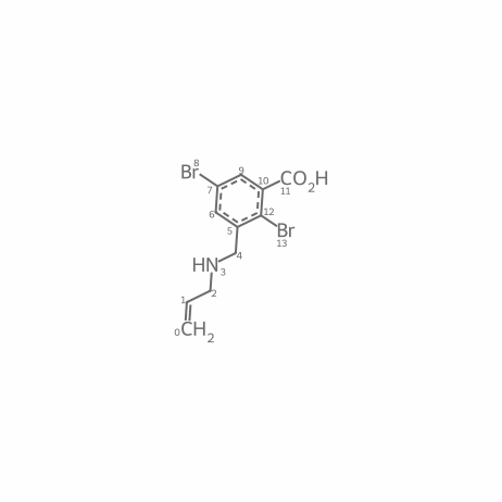 C=CCNCc1cc(Br)cc(C(=O)O)c1Br